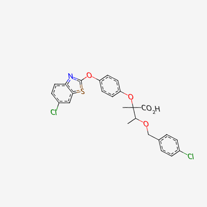 CC(OCc1ccc(Cl)cc1)C(C)(Oc1ccc(Oc2nc3ccc(Cl)cc3s2)cc1)C(=O)O